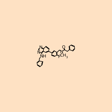 CN(Cc1cc(-c2ccc3ncnc(NCc4ccccc4)c3c2)ccc1F)C(=O)Cc1ccccc1